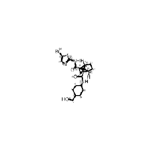 O=C(NC1CCC(CO)CC1)[C@H]1[C@H](C(=O)Nc2ncc(Br)s2)[C@@H]2CC[C@H]1C21CC1